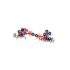 C/C=C(\C)OC(=O)[C@@H](CCCOS(=O)(=O)c1ccc(-c2ccc(S(=O)(=O)OCCC[C@@H](C[C@H](NC(c3ccccc3)(c3ccccc3)c3ccccc3)C(=O)OC(C)(C)C)C(=O)OC(C)(C)C)cc2)cc1)C[C@H](NC(c1ccccc1)(c1ccccc1)c1ccccc1)C(=O)OC(C)(C)C